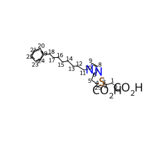 O=C(O)CCSC(Cc1nccn1CCCCCCCCc1ccccc1)C(=O)O